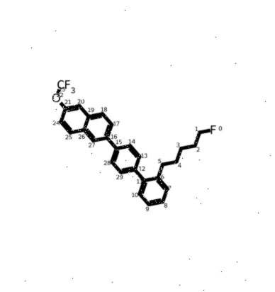 FCCCCCc1ccccc1-c1ccc(-c2ccc3cc(OC(F)(F)F)ccc3c2)cc1